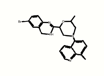 Cc1ccc(N2CC(C)OC(C3=Nc4ccc(Br)cc4CN3)C2)c2cccnc12